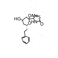 COC1(C2CSC(=O)N2)CC(O)C[C@@H](CCc2ccccc2)O1